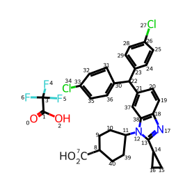 O=C(O)C(F)(F)F.O=C(O)C1CCC(n2c(C3CC3)nc3ccc(C(c4ccc(Cl)cc4)c4ccc(Cl)cc4)cc32)CC1